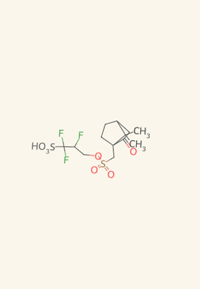 CC1(C)C2CCC1(CS(=O)(=O)OCC(F)C(F)(F)S(=O)(=O)O)C(=O)C2